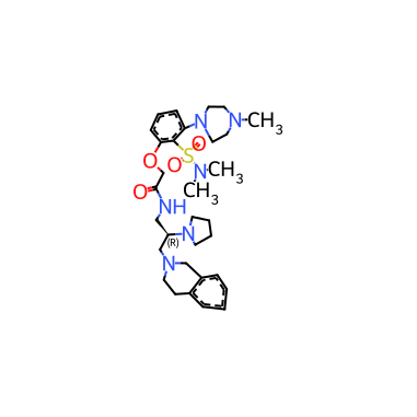 CN1CCN(c2cccc(OCC(=O)NC[C@H](CN3CCc4ccccc4C3)N3CCCC3)c2S(=O)(=O)N(C)C)CC1